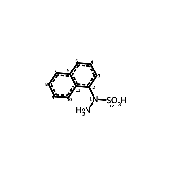 NN(c1cccc2ccccc12)S(=O)(=O)O